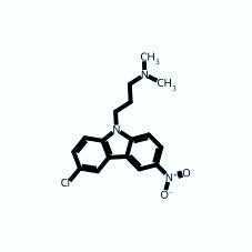 CN(C)CCCn1c2ccc(Cl)cc2c2cc([N+](=O)[O-])ccc21